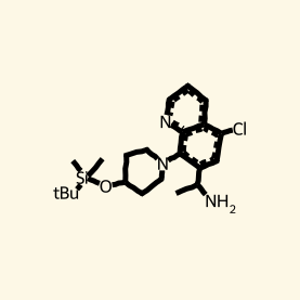 CC(N)c1cc(Cl)c2cccnc2c1N1CCC(O[Si](C)(C)C(C)(C)C)CC1